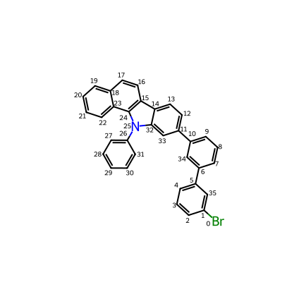 Brc1cccc(-c2cccc(-c3ccc4c5ccc6ccccc6c5n(-c5ccccc5)c4c3)c2)c1